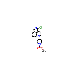 CC(C)(C)OC(=O)N1CCC(N2CCc3c(Cl)ncc4cccc2c34)CC1